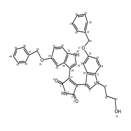 O=C1NC(=O)C(c2cn(CCCO)c3ccc(OCc4ccccc4)cc23)=C1c1c[nH]c2ccc(OCc3ccccc3)cc12